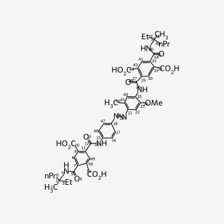 CCCC(C)(CC)NC(=O)c1cc(C(=O)O)c(C(=O)Nc2ccc(/N=N/c3cc(OC)c(NC(=O)c4cc(C(=O)O)c(C(=O)NC(C)(CC)CCC)cc4C(=O)O)cc3C)cc2)cc1C(=O)O